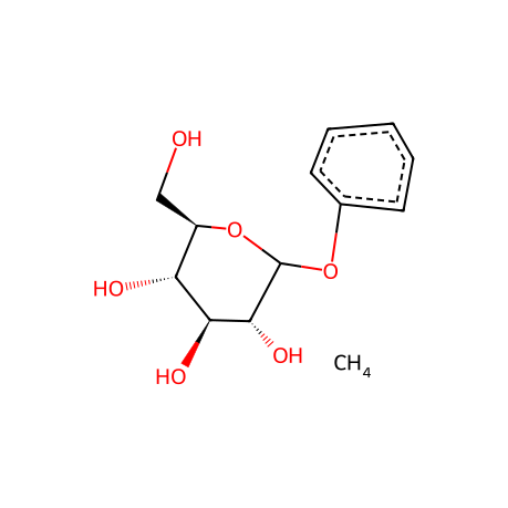 C.OC[C@H]1OC(Oc2ccccc2)[C@H](O)[C@@H](O)[C@@H]1O